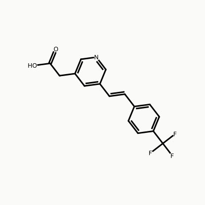 O=C(O)Cc1cncc(/C=C/c2ccc(C(F)(F)F)cc2)c1